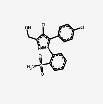 NS(=O)(=O)c1ccccc1-n1nc(CO)c(Cl)c1-c1ccc(Cl)cc1